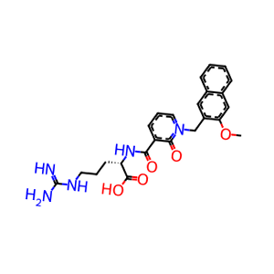 COc1cc2ccccc2cc1Cn1cccc(C(=O)N[C@@H](CCCNC(=N)N)C(=O)O)c1=O